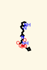 O=C(NC(CC(=O)N1CC(CCc2ccc3c(n2)NCCC3)C1)C(=O)O)OCC1CCC1